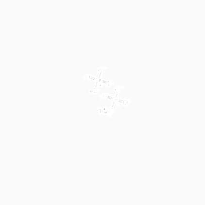 O=[Se](=O)([O-])[O-].O=[Se](=O)([O-])[O-].[Ti+4]